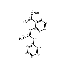 COC(=O)c1ccccc1C=C(C)Cc1ccccc1